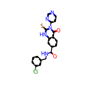 O=C(NCc1cccc(Cl)c1)c1ccc2c(=O)n(-c3ccncn3)c(=S)[nH]c2c1